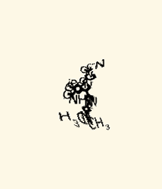 CC(C)Oc1cc2c(OC3CCCN(C(=O)CC#N)C3)ncc(-c3cnn(C4CC(N(C)C)C4)c3)c2cc1C(N)=O